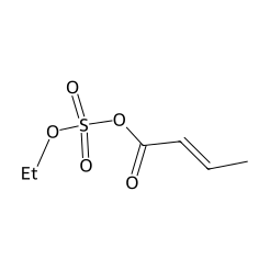 CC=CC(=O)OS(=O)(=O)OCC